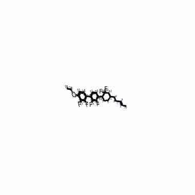 C/C=C/CCC1CCC(c2ccc(-c3ccc(OCC)c(F)c3F)c(F)c2F)C(F)(F)C1